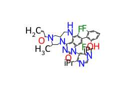 C=CC(=O)N1CC2CNc3c(F)c(-c4c(O)cccc4F)c(F)c4c3c(nc(=O)n4-c3c(C(C)C)ncnc3C(C)C)N2CC1C